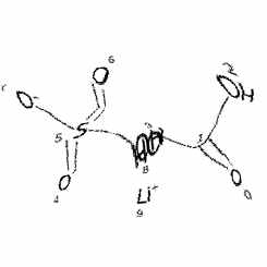 O=C(O)O.O=S(=O)([O-])O.[Li+]